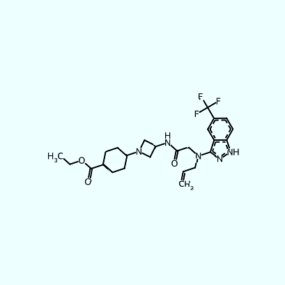 C=CCN(CC(=O)NC1CN(C2CCC(C(=O)OCC)CC2)C1)c1n[nH]c2ccc(C(F)(F)F)cc12